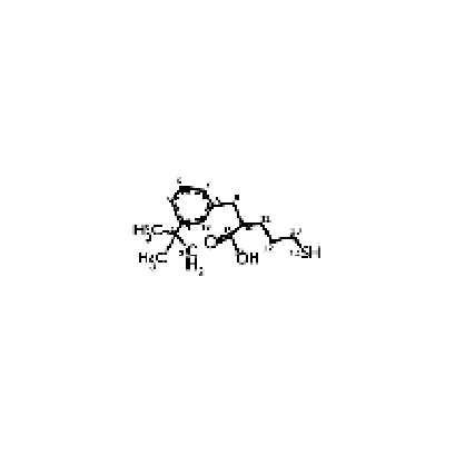 CC(C)(C)c1cccc(CC(CCCS)C(=O)O)c1